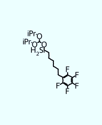 CC(C)OC(O[SiH2]CCCCCCc1c(F)c(F)c(F)c(F)c1F)OC(C)C